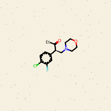 CCC(=O)[C@@H](CN1CCOCC1)c1ccc(Cl)c(F)c1